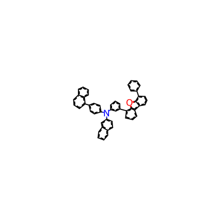 c1ccc(-c2cccc3c2oc2c(-c4cccc(N(c5ccc(-c6cccc7ccccc67)cc5)c5ccc6ccccc6c5)c4)cccc23)cc1